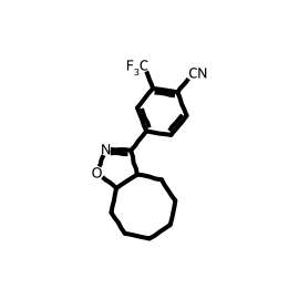 N#Cc1ccc(C2=NOC3CCCCCCC23)cc1C(F)(F)F